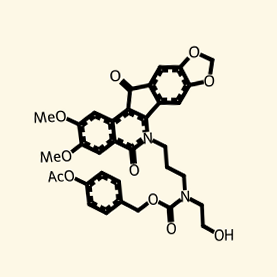 COc1cc2c3c(n(CCCN(CCO)C(=O)OCc4ccc(OC(C)=O)cc4)c(=O)c2cc1OC)-c1cc2c(cc1C3=O)OCO2